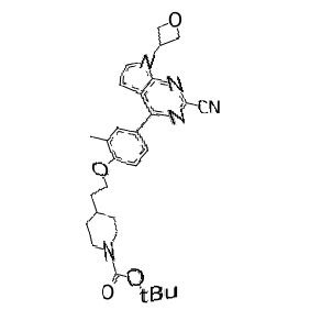 Cc1cc(-c2nc(C#N)nc3c2ccn3C2COC2)ccc1OCCC1CCN(C(=O)OC(C)(C)C)CC1